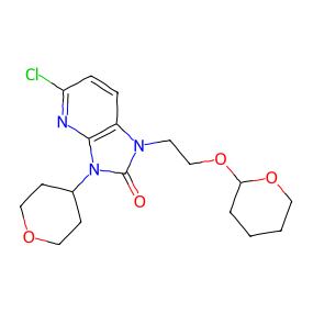 O=c1n(CCOC2CCCCO2)c2ccc(Cl)nc2n1C1CCOCC1